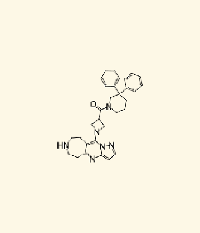 O=C(C1CN(c2c3c(nc4ccnn24)CCNCC3)C1)N1CCCC(c2ccccc2)(c2ccccc2)C1